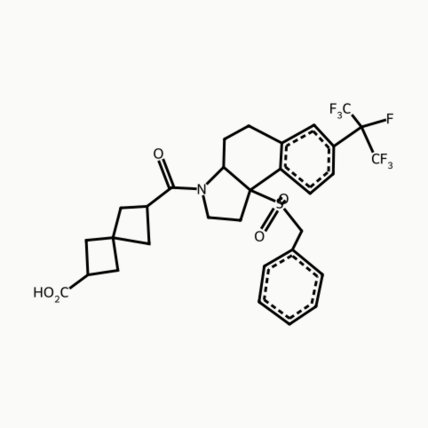 O=C(O)C1CC2(C1)CC(C(=O)N1CCC3(S(=O)(=O)Cc4ccccc4)c4ccc(C(F)(C(F)(F)F)C(F)(F)F)cc4CCC13)C2